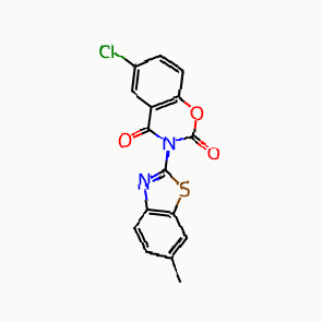 Cc1ccc2nc(-n3c(=O)oc4ccc(Cl)cc4c3=O)sc2c1